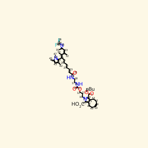 CCCCOC(=O)c1c2c(c(C(=O)O)n1CCCOC(=O)NCCNC(=O)CCCCCC\C(=C(C)/C(C)=C\C(C)=N\B(F)F)c1c(C)cc(C)n1C)CCC#CCC2